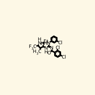 CCN1NC(C(F)(F)F)C(C)C1N/C(=N\C(=O)c1ccc(Cl)cc1Cl)Nc1cccc(Cl)c1